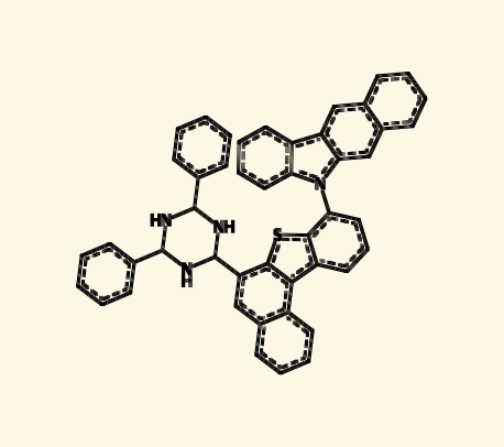 c1ccc(C2NC(c3ccccc3)NC(c3cc4ccccc4c4c3sc3c(-n5c6ccccc6c6cc7ccccc7cc65)cccc34)N2)cc1